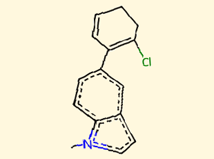 Cn1ccc2cc(C3=C(Cl)CCC=C3)ccc21